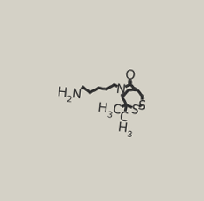 CC1(C)SSCC2CC1N(CCCCCN)C2=O